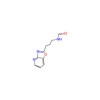 O=[C]NCCCc1nc2ncccc2o1